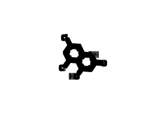 O=c1cc(O)c2c(Cl)cc(Cl)cc2[nH]1